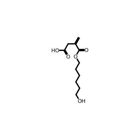 C=C(CC(=O)O)C(=O)OCCCCCCO